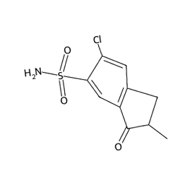 CC1Cc2cc(Cl)c(S(N)(=O)=O)cc2C1=O